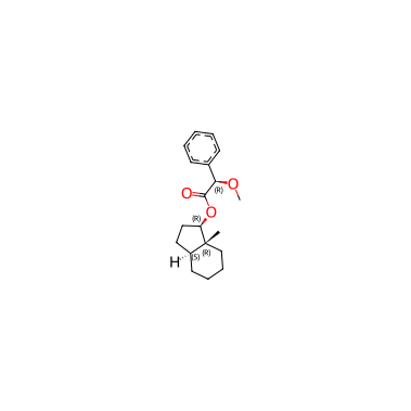 CO[C@@H](C(=O)O[C@@H]1CC[C@@H]2CCCC[C@]21C)c1ccccc1